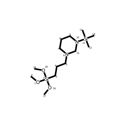 CO[Si](CCCN1CCCN([Si](C)(C)C)C1)(OC)OC